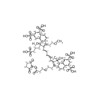 COCC[N+]1=C(/C=C/C=C/C=C2/N(CCOCCC(=O)ON3C(=O)CCC3=O)c3ccc4c(S(=O)(=O)O)cc(S(=O)(=O)O)cc4c3C2(C)C)C(C)(CCCS(=O)(=O)O)c2c1ccc1c(S(=O)(=O)O)cc(S(=O)(=O)O)cc21